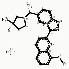 CC(C)Oc1cccc2ccc(-c3nnc4ccc([C@H](N5CC[C@@](C)(N)C5)C(F)(F)F)cn34)nc12.Cl.Cl